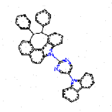 c1ccc(C2c3cccc4ccc5c(c34)c3c(cccc3n5-c3ncc(-n4c5ccccc5c5ccccc54)cn3)C2c2ccccc2)cc1